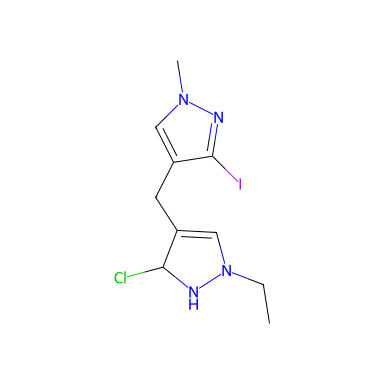 CCN1C=C(Cc2cn(C)nc2I)C(Cl)N1